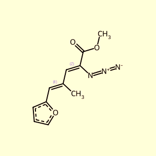 COC(=O)/C(=C/C(C)=C/c1ccco1)N=[N+]=[N-]